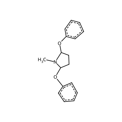 CN1C(Oc2ccccc2)CCC1Oc1ccccc1